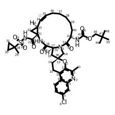 Cc1nc2cc(Cl)ccc2c2c1O[C@]1(CC2)C[C@H]2C(=O)N[C@]3(C(=O)NS(=O)(=O)C4(C)CC4)C[C@H]3/C=C\CCCCC[C@H](NC(=O)OCC(C)(C)C)C(=O)N2C1